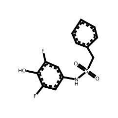 O=S(=O)(Cc1ccccc1)Nc1cc(F)c(O)c(F)c1